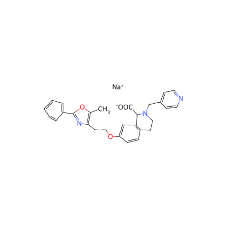 Cc1oc(-c2ccccc2)nc1CCOc1ccc2c(c1)C(C(=O)[O-])N(Cc1ccncc1)CC2.[Na+]